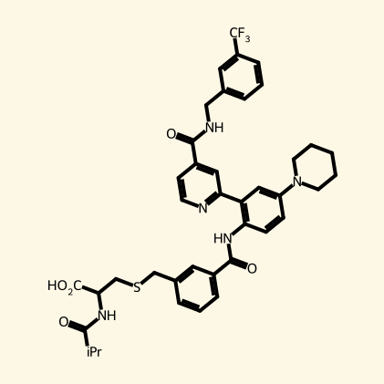 CC(C)C(=O)NC(CSCc1cccc(C(=O)Nc2ccc(N3CCCCC3)cc2-c2cc(C(=O)NCc3cccc(C(F)(F)F)c3)ccn2)c1)C(=O)O